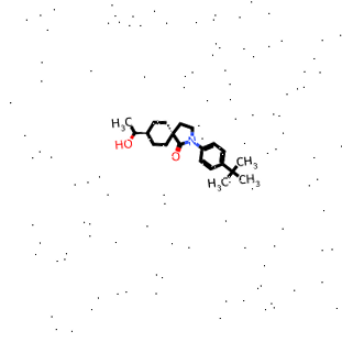 CC(O)[C@H]1CC[C@@]2(CCN(c3ccc(C(C)(C)C)cc3)C2=O)CC1